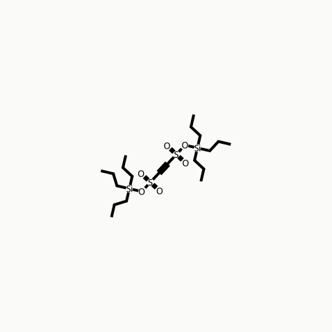 CCC[Si](CCC)(CCC)OS(=O)(=O)C#CS(=O)(=O)O[Si](CCC)(CCC)CCC